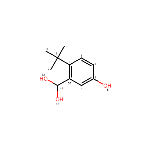 CC(C)(C)c1ccc(O)cc1C(O)O